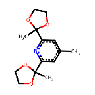 Cc1cc(C2(C)OCCO2)nc(C2(C)OCCO2)c1